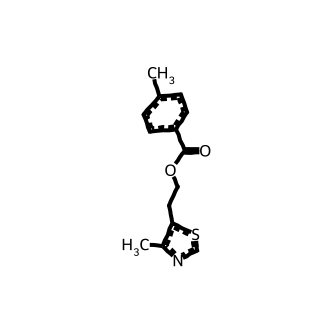 Cc1ccc(C(=O)OCCc2scnc2C)cc1